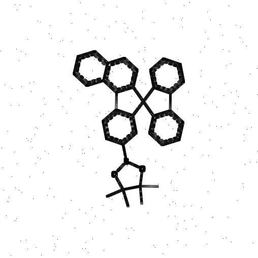 CC1(C)OB(c2ccc3c(c2)C2(c4ccccc4-c4ccccc42)c2ccc4ccccc4c2-3)OC1(C)C